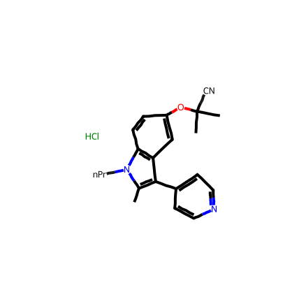 CCCn1c(C)c(-c2ccncc2)c2cc(OC(C)(C)C#N)ccc21.Cl